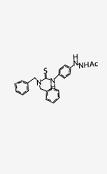 CC(=O)NNc1ccc(NC(=S)N(Cc2ccccc2)Cc2ccccc2)cc1